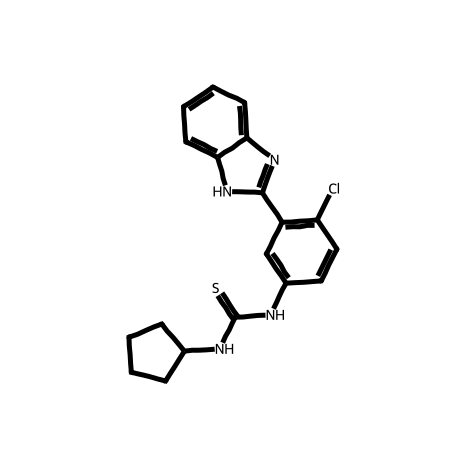 S=C(Nc1ccc(Cl)c(-c2nc3ccccc3[nH]2)c1)NC1CCCC1